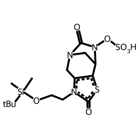 CC(C)(C)[Si](C)(C)OCCn1c2c(sc1=O)C1CN(C2)C(=O)N1OS(=O)(=O)O